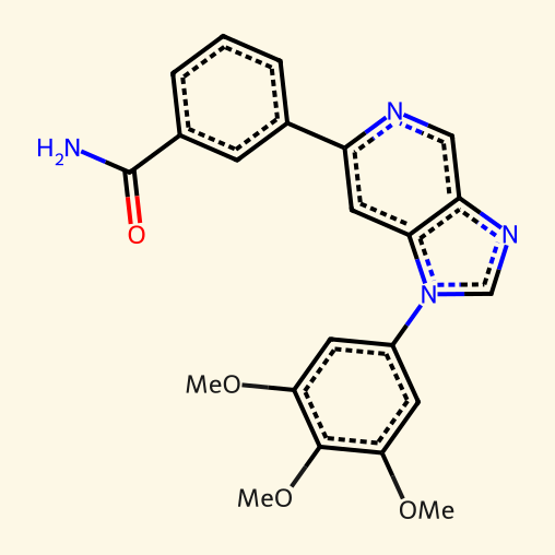 COc1cc(-n2cnc3cnc(-c4cccc(C(N)=O)c4)cc32)cc(OC)c1OC